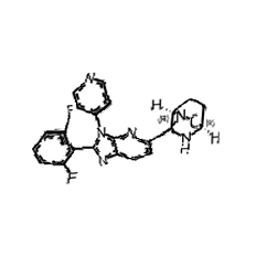 Fc1cccc(F)c1-c1nc2ccc(N3C[C@H]4CC[C@@H]3CN4)nc2n1-c1ccncc1